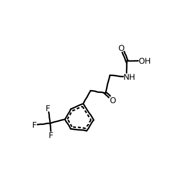 O=C(CNC(=O)O)Cc1cccc(C(F)(F)F)c1